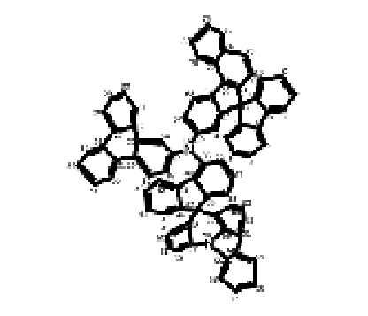 c1ccc2c(c1)-c1ccccc1C21c2cc(N(c3ccc4c5ccccc5c5ccccc5c4c3)c3cccc4c3-c3ccccc3C43c4ccccc4-n4c5ccccc5c5cccc3c54)ccc2-c2c1ccc1ccccc21